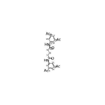 CC(=O)c1cc(NC(=O)CCCC(=O)Nc2cc(C(C)=O)cc(C(C)=O)c2)cc(C(C)=O)c1